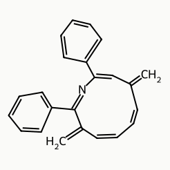 C=c1ccccc(=C)c(-c2ccccc2)nc(-c2ccccc2)c1